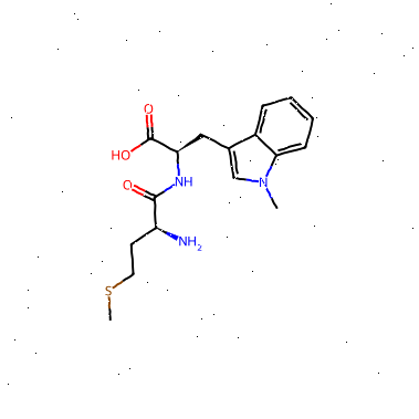 CSCC[C@H](N)C(=O)N[C@H](Cc1cn(C)c2ccccc12)C(=O)O